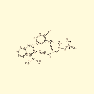 Cc1cc(-c2nc3ccccc3c(C(C)C)c2C#COC(=O)CC(O)C[PH](=O)O)ccc1F